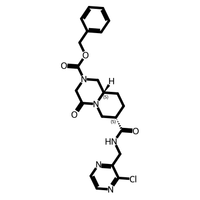 O=C(NCc1nccnc1Cl)[C@H]1CC[C@H]2CN(C(=O)OCc3ccccc3)CC(=O)N2C1